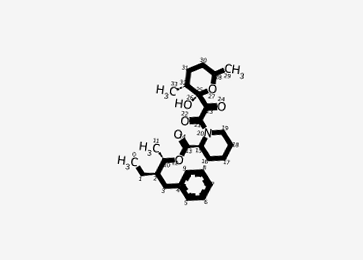 CC[C@H](Cc1ccccc1)[C@H](C)OC(=O)[C@@H]1CCCCN1C(=O)C(=O)[C@]1(O)OC(C)CC[C@H]1C